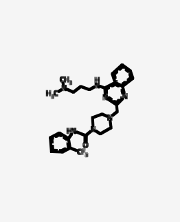 CN(C)CCCNc1nc(CN2CCN(C(=O)Nc3ccccc3C(F)(F)F)CC2)nc2ccccc12